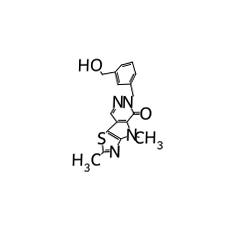 Cc1nc2c(s1)c1cnn(Cc3cccc(CO)c3)c(=O)c1n2C